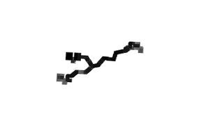 C=CCCCCC(CN)CCC